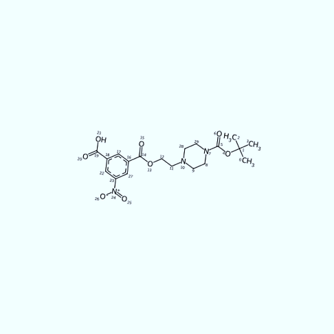 CC(C)(C)OC(=O)N1CCN(CCOC(=O)c2cc(C(=O)O)cc([N+](=O)[O-])c2)CC1